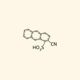 N#Cc1ccc2cc3ccccc3cc2c1S(=O)(=O)O